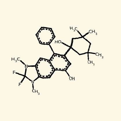 CN1c2cc3c(O)cc(C4(O)CC(C)(C)CC(C)(C)C4)c(-c4ccccc4)c3cc2N(C)C1(F)F